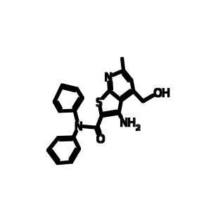 Cc1cc(CO)c2c(N)c(C(=O)N(c3ccccc3)c3ccccc3)sc2n1